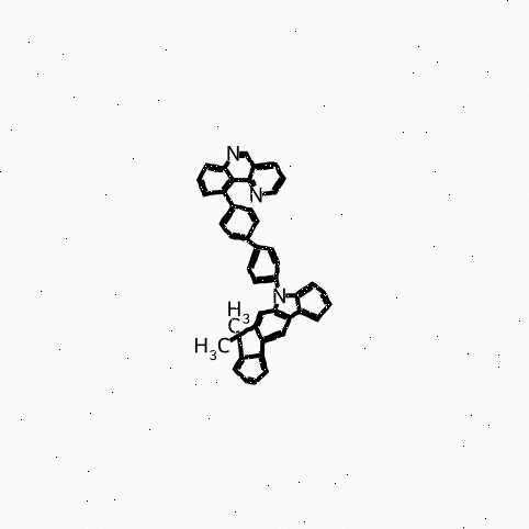 CC1(C)c2ccccc2-c2cc3c4ccccc4n(-c4ccc(-c5ccc(-c6cccc7ncc8cccnc8c67)cc5)cc4)c3cc21